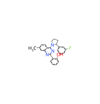 Cc1ccc2c(N3CCCC3c3cccc(F)c3)nc(-c3ccccc3O)nc2c1